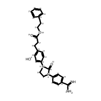 Cl.N=C(N)c1ccc(N2CCN(c3ccc(CCC(=O)OCCc4ccccc4)cc3)C2=O)cc1